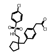 O=C(Cl)Cc1ccc(CC2(CNS(=O)(=O)c3ccc(Cl)cc3)CCCC2)cc1